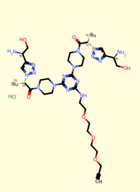 C#CCOCCOCCOCCNc1nc(N2CCN(C(=O)[C@H]([C@@H](C)CC)n3cc([C@@H](N)CO)nn3)CC2)nc(N2CCN(C(=O)[C@H]([C@@H](C)CC)n3cc([C@@H](N)CO)nn3)CC2)n1.Cl